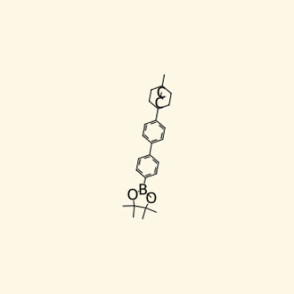 CC12CCC(c3ccc(-c4ccc(B5OC(C)(C)C(C)(C)O5)cc4)cc3)(CC1)CC2